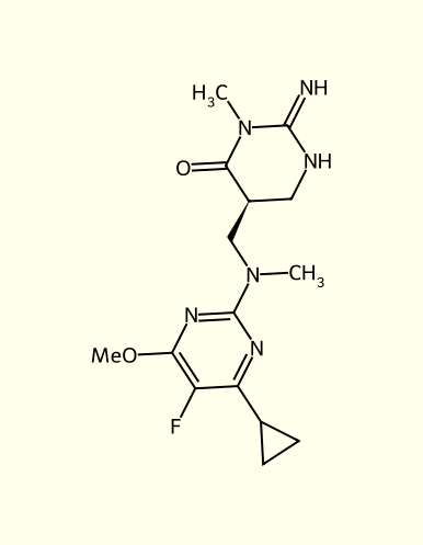 COc1nc(N(C)C[C@@H]2CNC(=N)N(C)C2=O)nc(C2CC2)c1F